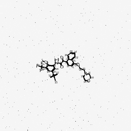 COc1c(NC(=O)C(=O)c2ccc(OCCN3CCOCC3)c3ccccc23)cc(C(C)(C)C)cc1C(F)(F)F